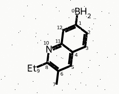 Bc1ccc2cc(C)c(CC)nc2c1